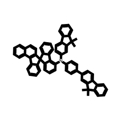 CC1(C)c2ccccc2-c2ccc(-c3ccc(N(c4ccc5c(c4)C(C)(C)c4ccccc4-5)c4cccc5c4-c4ccccc4C54c5ccccc5-c5c4ccc4ccccc54)cc3)cc21